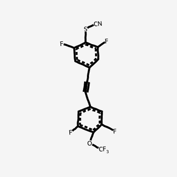 N#CSc1c(F)cc(C#Cc2cc(F)c(OC(F)(F)F)c(F)c2)cc1F